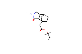 CC(=O)N1CC2C3CCC(CC(=O)OC(CS(=O)(=O)O)(C(F)(F)F)C(F)(F)F)(C3)C2C1=O